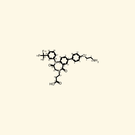 NCCOc1ccc(-c2ccc3c(c2)C(=O)N(CCC(=O)O)CC(=O)N3c2cccc(C(F)(F)F)c2)cc1